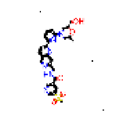 C[C@H]1CN(c2cccc(-c3ccc4cnc(CNC(=O)c5cncc(S(C)(=O)=O)c5)cc4n3)n2)C[C@@H](CO)O1